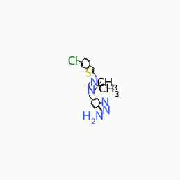 CC1(C)CN(Cc2ccc3c(N)ncnc3c2)CCN1Cc1cc2ccc(Cl)cc2s1